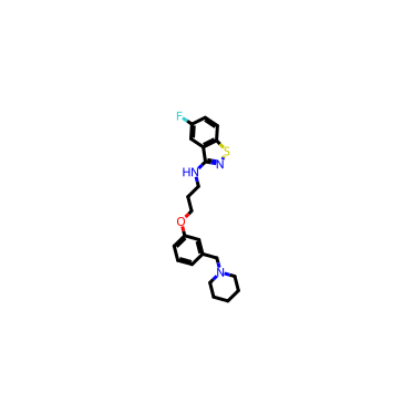 Fc1ccc2snc(NCCCOc3cccc(CN4CCCCC4)c3)c2c1